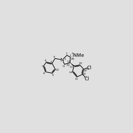 CN[C@H]1CN(Cc2ccccc2)C[C@@H]1c1ccc(Cl)c(Cl)c1